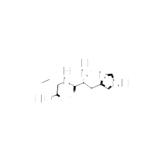 CC[C@H](NC(=O)[C@@H](N)Cc1c[nH]cn1)C(=O)O